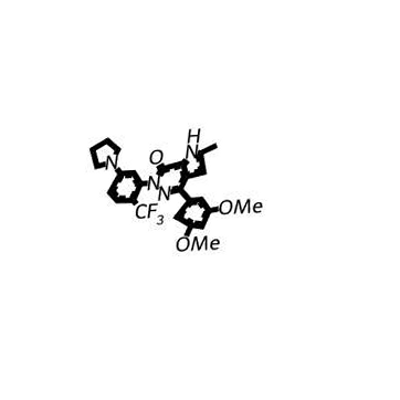 COc1cc(OC)cc(-c2nn(-c3cc(N4CCCC4)ccc3C(F)(F)F)c(=O)c3[nH]c(C)cc23)c1